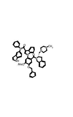 COc1cc(-n2cc(C(=O)N(c3ccccc3)c3ccc4[nH]ccc4c3)c3ccccc32)c(C(=O)N2Cc3ccccc3C[C@H]2CN2CCN(C)CC2)cc1OCc1ccccc1